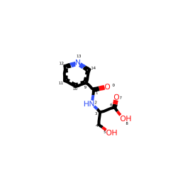 O=C(NC(CO)C(=O)O)c1cccnc1